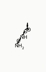 CC#CC(=O)COCCCNCCOCCN